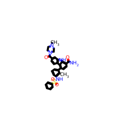 Cc1c(NS(=O)(=O)c2ccccc2)cccc1-c1ccc(C(N)=O)c2[nH]c3cc(C(=O)N4CCN(C)CC4)ccc3c12